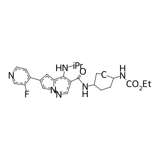 CCOC(=O)NC1CCC(NC(=O)c2cnn3cc(-c4ccncc4F)cc3c2NC(C)C)CC1